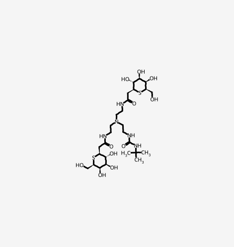 CC(C)(C)NC(=O)NCCN(CCNC(=O)C[C@@H]1S[C@H](CO)[C@H](O)[C@H](O)[C@H]1O)CCNC(=O)C[C@@H]1S[C@H](CO)[C@H](O)[C@H](O)[C@H]1O